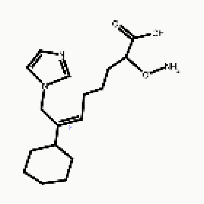 NOC(CCC/C=C(\Cn1ccnc1)C1CCCCC1)C(=O)O